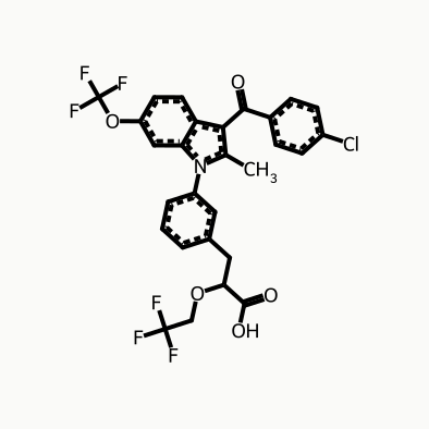 Cc1c(C(=O)c2ccc(Cl)cc2)c2ccc(OC(F)(F)F)cc2n1-c1cccc(CC(OCC(F)(F)F)C(=O)O)c1